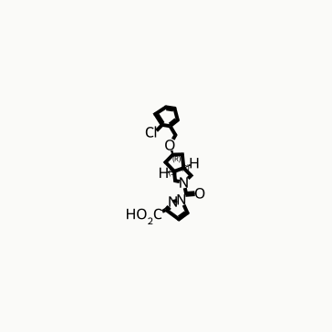 O=C(O)c1ccn(C(=O)N2C[C@H]3C[C@@H](OCc4ccccc4Cl)C[C@H]3C2)n1